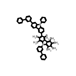 Bc1c(B)c(B)c2c(c1B)c1c(B)c(-c3ccc4c(c3)c3ccc(-c5cccc(-c6ccccc6)c5)cc3n4-c3ccccc3)c(B)c(B)c1n2-c1cccc(-c2ccccc2)c1